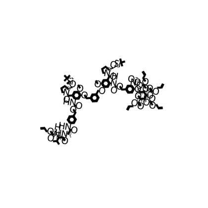 C=CCOC(=O)N[C@H](C(=O)N[C@@H](C)C(=O)Nc1ccc(COC(=O)Nc2cc(OCc3cccc(COc4cc(NC(=O)OCc5ccc(O[C@@H]6O[C@H](C(=O)OCC=C)[C@@H](OC(=O)OCC=C)[C@H](OC(=O)OCC=C)[C@H]6OC(=O)OCC=C)c([N+](=O)[O-])c5)c(C(=O)N5CCC[C@H]5CO[Si](C)(C)C(C)(C)C)cc4OC)c3)c(OC)cc2C(=O)N2CCC[C@H]2CO[Si](C)(C)C(C)(C)C)cc1)C(C)C